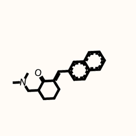 CN(C)CC1CCC/C(=C\c2ccc3ccccc3c2)C1=O